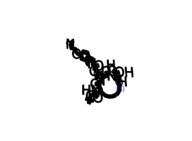 CN(C)CCOc1ccc2c(c1)CN(C(=O)O[C@@H]1CC3C(=O)N[C@]4(C(=O)O)C[C@H]4/C=C\CCCCC[C@H](NC(=O)OC(C)(C)C)C(=O)N3C1)C2